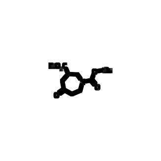 CCOC(=O)C1CC(=O)CCN(C(=O)OC(C)(C)C)C1